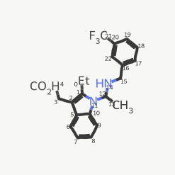 CCc1c(CC(=O)O)c2ccccc2n1C(C)NCc1cccc(C(F)(F)F)c1